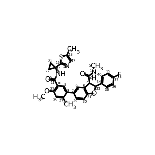 CNC(=O)C1c2cc(-c3cc(C(=O)NC4(c5ncc(C)s5)CC4)c(OC)cc3C)ccc2OC1c1ccc(F)cc1